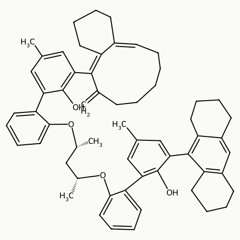 C=C1CCCCC/C=C2/CCCC/C2=C/1c1cc(C)cc(-c2ccccc2O[C@H](C)C[C@@H](C)Oc2ccccc2-c2cc(C)cc(-c3c4c(cc5c3CCCC5)CCCC4)c2O)c1O